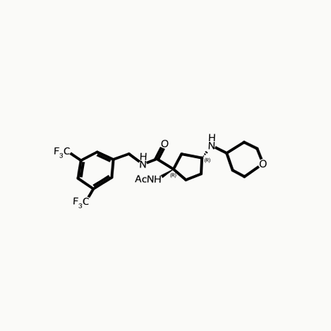 CC(=O)N[C@]1(C(=O)NCc2cc(C(F)(F)F)cc(C(F)(F)F)c2)CC[C@@H](NC2CCOCC2)C1